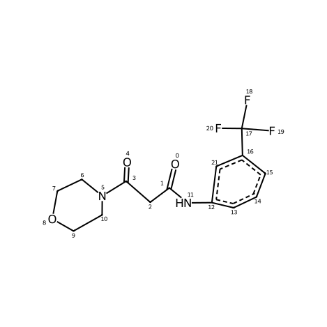 O=C(CC(=O)N1CCOCC1)Nc1cccc(C(F)(F)F)c1